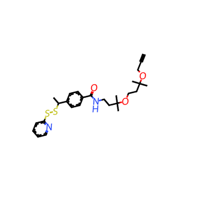 C#CCOC(C)(C)CCOC(C)(C)CCNC(=O)c1ccc(C(C)SSc2ccccn2)cc1